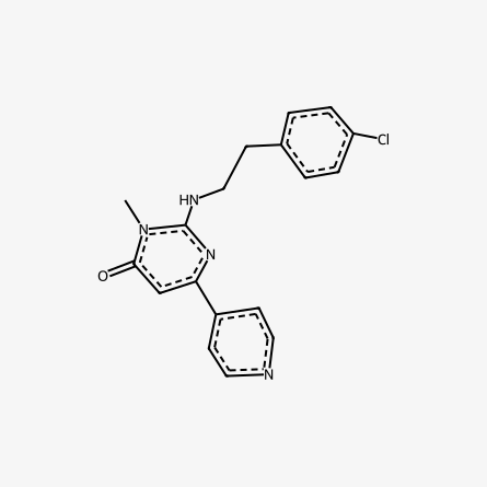 Cn1c(NCCc2ccc(Cl)cc2)nc(-c2ccncc2)cc1=O